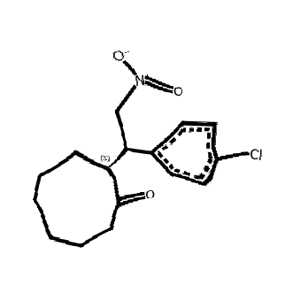 O=C1CCCCCC[C@H]1C(C[N+](=O)[O-])c1ccc(Cl)cc1